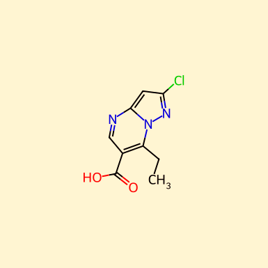 CCc1c(C(=O)O)cnc2cc(Cl)nn12